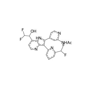 CC(=O)Nc1cc(-c2[nH]c3c(C(O)C(F)F)ccnc3c2-c2cccc(C(F)F)n2)ccn1